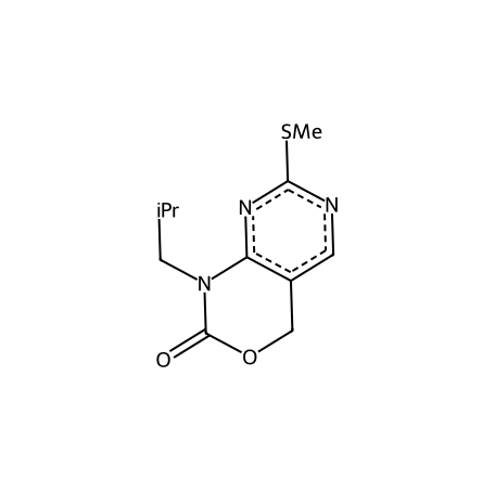 CSc1ncc2c(n1)N(CC(C)C)C(=O)OC2